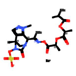 CN/C(=N\OC(=O)[C@H](C)OC(=O)[C@H](C)OC(=O)C(C)OC(C)=O)[C@@H]1c2c(cnn2C)[C@@H]2CN1C(=O)N2OS(=O)(=O)[O-].[Na+]